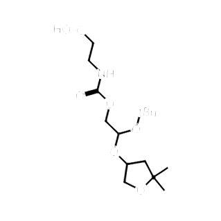 CC(C)(C)OC(COC(=O)NCCC(=O)O)OC1COC(C)(C)C1